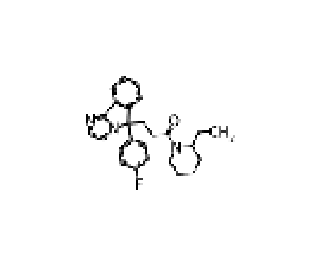 CCC1CCCCN1C(=O)CCC1(c2ccc(F)cc2)c2ccccc2-c2nccn21